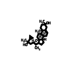 C[C@H](CC[C@](C)(O)C1CC1)C1CC[C@H]2[C@@H]3CC=C4C[C@@](C)(O)CC[C@]4(C)[C@H]3CC[C@]12C